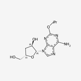 CC(C)Oc1nc(N)c2ncn([C@@H]3O[C@H](CO)C[C@H]3O)c2n1